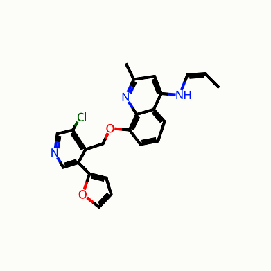 C/C=C\Nc1cc(C)nc2c(OCc3c(Cl)cncc3-c3ccco3)cccc12